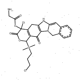 CCC1(OC(=O)CN)C(=O)OC([Si](C)(C)CCCCl)C2=C1CC1=C(C2=O)N2Cc3ccccc3C=C2N1